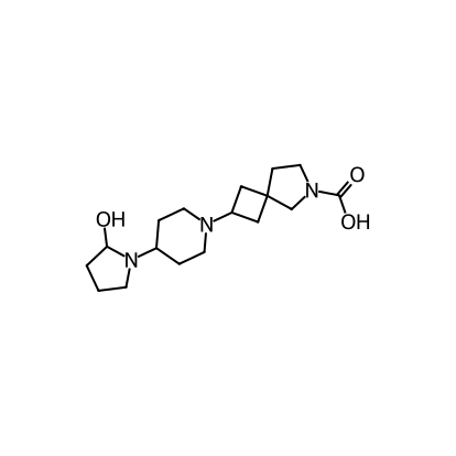 O=C(O)N1CCC2(CC(N3CCC(N4CCCC4O)CC3)C2)C1